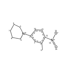 Cc1cc(N2CCCCC2)ccc1[N+](=O)[O-]